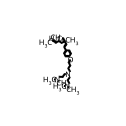 C=C[C@@](C)(/C=C/c1ccc(OCCCCN(CCCN(C)C)CCCN(C)C)cc1)CCC=C(C)C